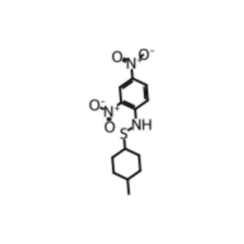 CC1CCC(SNc2ccc([N+](=O)[O-])cc2[N+](=O)[O-])CC1